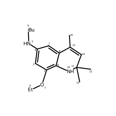 CCOc1cc(NC(C)CC)cc2c1NC(C)(C)C=C2C